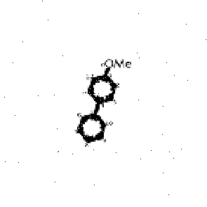 COc1[c]cc(-c2ccccc2)cc1